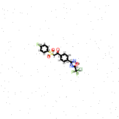 O=C(CS(=O)(=O)c1ccc(F)cc1)c1ccc(-c2noc(C(F)(F)Cl)n2)cc1